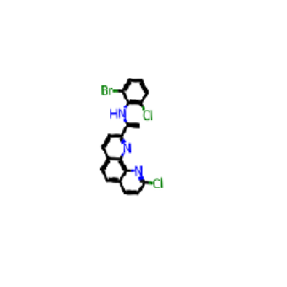 C=C(Nc1c(Cl)cccc1Br)c1ccc2ccc3ccc(Cl)nc3c2n1